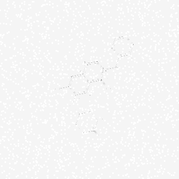 COc1cc2ncn(Cc3ccccc3)c(=O)c2cc1OC1CCC(=O)CC1